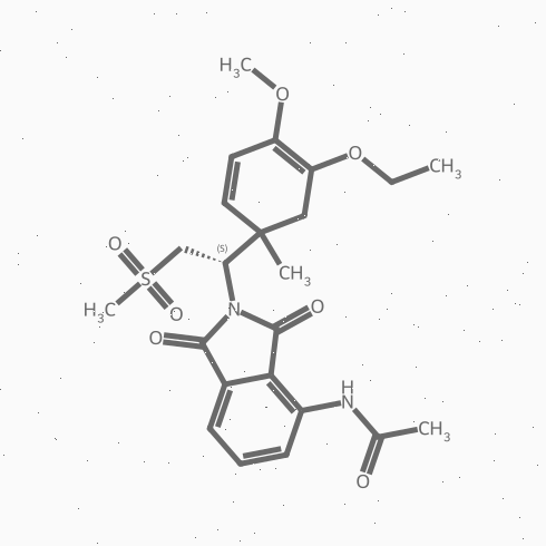 CCOC1=C(OC)C=CC(C)([C@@H](CS(C)(=O)=O)N2C(=O)c3cccc(NC(C)=O)c3C2=O)C1